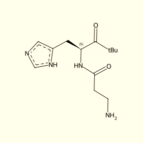 CC(C)(C)C(=O)[C@H](Cc1cnc[nH]1)NC(=O)CCN